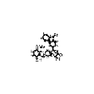 CCn1c2ccccc2c2cc(CN3CCN(Cc4cc(OC)ccc4O)CC3)ccc21.O=C(O)C(=O)O